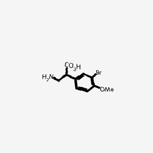 COc1ccc(C(CN)C(=O)O)cc1Br